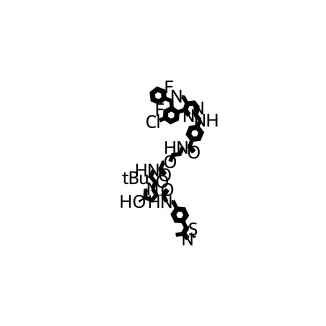 Cc1ncsc1-c1ccc(CNC(=O)[C@@H]2C[C@@H](O)CN2C(=O)[C@@H](NC(=O)COCCNC(=O)c2ccc(Nc3ncc4c(n3)-c3ccc(Cl)cc3C(c3c(F)cccc3F)=NC4)cc2)C(C)(C)C)cc1